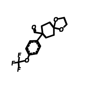 O=CC1(c2ccc(OC(F)(F)F)cc2)CCC2(CC1)OCCO2